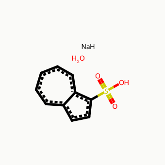 O.O=S(=O)(O)c1ccc2cccccc1-2.[NaH]